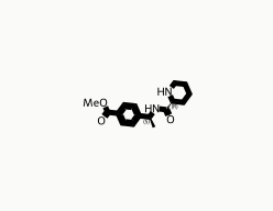 COC(=O)c1ccc([C@H](C)NC(=O)[C@H]2CCCCN2)cc1